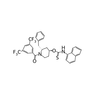 O=C(c1cc(C(F)(F)F)cc(C(F)(F)F)c1)N1CC[C@H](OC(=S)Nc2cccc3ccccc23)C[C@H]1Cc1ccccc1